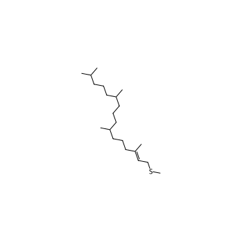 CSC/C=C(\C)CCCC(C)CCCC(C)CCCC(C)C